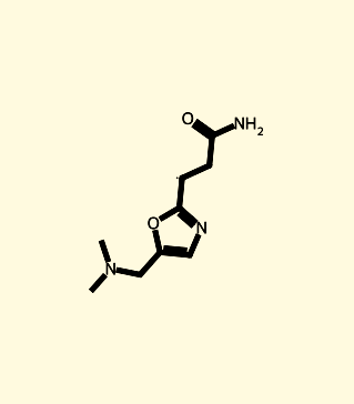 CN(C)Cc1cnc([CH]CC(N)=O)o1